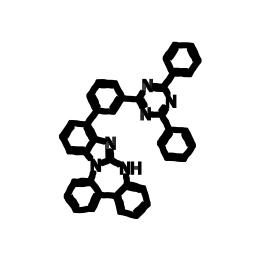 c1ccc(-c2nc(-c3ccccc3)nc(-c3cccc(-c4cccc5c4nc4n5-c5ccccc5-c5ccccc5N4)c3)n2)cc1